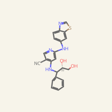 N#Cc1cnc(Nc2ccc3ncsc3c2)cc1NC(c1ccccc1)[C@H](O)CO